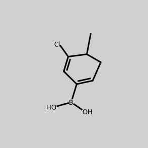 CC1CC=C(B(O)O)C=C1Cl